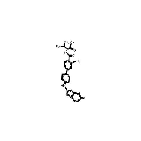 Cc1cc(-c2ccc(Nc3nc4ccc(F)cc4s3)cc2)ccc1C(=O)N[C@H](C(=O)O)C(C)C